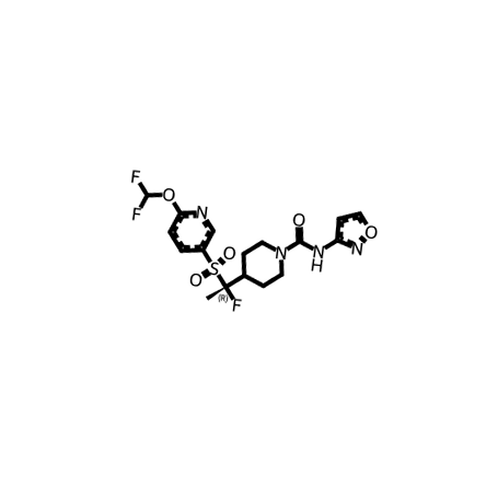 C[C@](F)(C1CCN(C(=O)Nc2ccon2)CC1)S(=O)(=O)c1ccc(OC(F)F)nc1